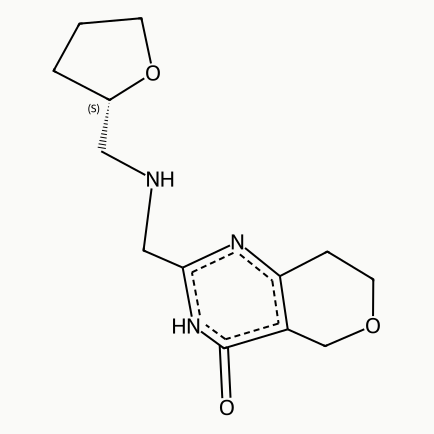 O=c1[nH]c(CNC[C@@H]2CCCO2)nc2c1COCC2